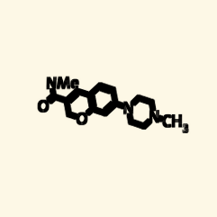 CNC(=O)C1=Cc2ccc(N3CCN(C)CC3)cc2OC1